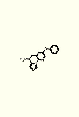 NC1Cc2cc(Oc3ccccc3)cnc2-n2cnnc21